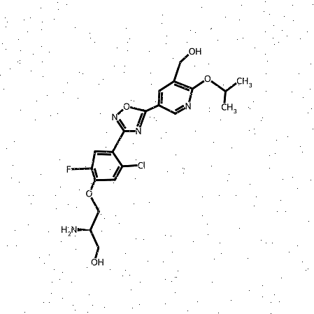 CC(C)Oc1ncc(-c2nc(-c3cc(F)c(OC[C@H](N)CO)cc3Cl)no2)cc1CO